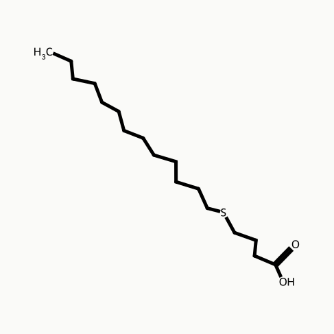 CCCCCCCCCCCCCSCCCC(=O)O